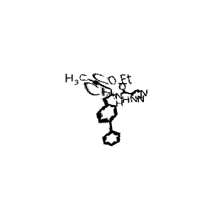 CCOC(=O)C(C)(C)C[C@@H](Cc1ccc(-c2ccccc2)cc1)NC(=O)c1cnn[nH]1